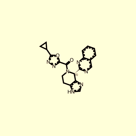 O=C(c1nnc(C2CC2)o1)N1CCc2[nH]cnc2[C@H]1c1ncc2ccccc2n1